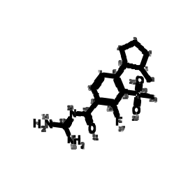 CC1CCCC1c1ccc(C(=O)N=C(N)N)c(F)c1S(C)(=O)=O